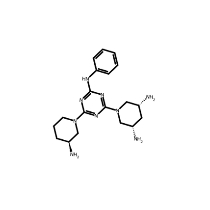 N[C@@H]1C[C@H](N)CN(c2nc(Nc3ccccc3)nc(N3CCC[C@H](N)C3)n2)C1